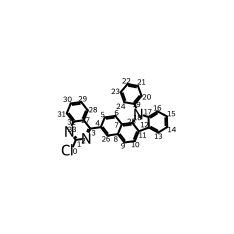 Clc1nc(-c2ccc3c(ccc4c5ccccc5n(-c5ccccc5)c34)c2)c2ccccc2n1